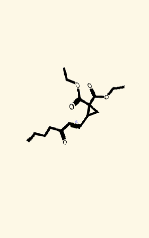 CCCCC(=O)/C=C/C1CC1(C(=O)OCC)C(=O)OCC